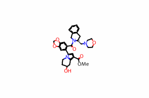 COC(=O)c1cc(-c2cc3c(cc2C(=O)N2Cc4ccccc4C[C@H]2CN2CCOCC2)OCO3)n2c1CC(O)CC2